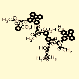 C=CC(=O)OCC(COc1ccc(C2(c3ccc(OCC(COC(=O)C=C)OC(=O)C4CC=CCC4C(=O)O)cc3)c3ccccc3-c3ccccc32)cc1)OC(=O)c1cc(-c2ccc(C(=O)OCC(O)COCCP(C)(C)=O)c(C(=O)OC(COC(=O)C=C)COc3ccc(C4(c5ccc(C)cc5)c5ccccc5-c5ccccc54)cc3)c2)ccc1C(=O)O